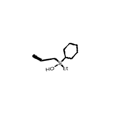 C=CC[Si](O)(CC)C1CCCCC1